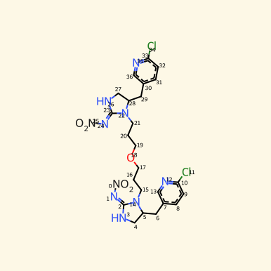 O=[N+]([O-])N=C1NCC(Cc2ccc(Cl)nc2)N1CCCOCCCN1C(=N[N+](=O)[O-])NCC1Cc1ccc(Cl)nc1